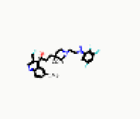 COc1ccc2ncc(CF)c([C@@H](O)CCC3(C(=O)O)CCN(CCNc4cc(F)cc(F)c4F)CC3)c2c1